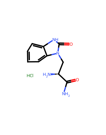 Cl.NC(=O)[C@@H](N)Cn1c(=O)[nH]c2ccccc21